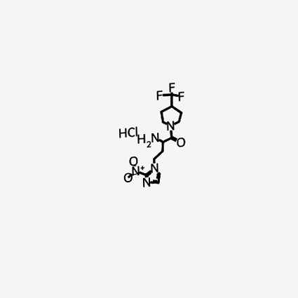 Cl.NC(CCn1ccnc1[N+](=O)[O-])C(=O)N1CCC(C(F)(F)F)CC1